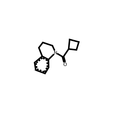 O=C(C1CCC1)N1CCCc2c[c]ccc21